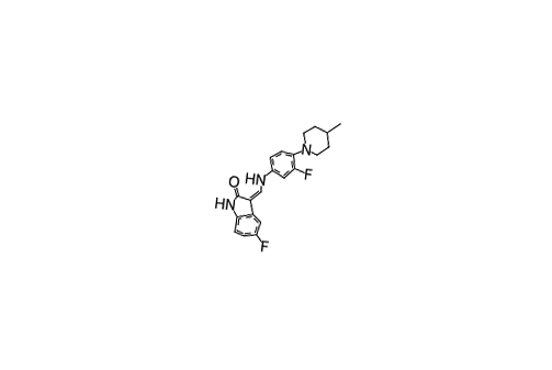 CC1CCN(c2ccc(NC=C3C(=O)Nc4ccc(F)cc43)cc2F)CC1